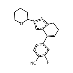 N#Cc1ccc(C2=CCCc3nn(C4CCCCO4)cc32)cc1F